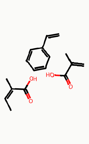 C=C(C)C(=O)O.C=Cc1ccccc1.CC=C(C)C(=O)O